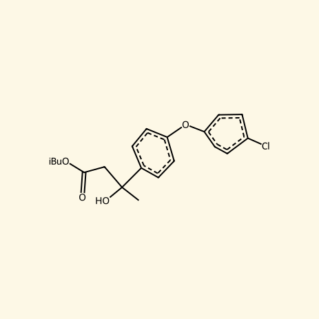 CC(C)COC(=O)CC(C)(O)c1ccc(Oc2ccc(Cl)cc2)cc1